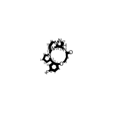 O=C1CCOc2ccc(F)cc2C2CCCN2C2C=Cn3ncc(c3N2)N1